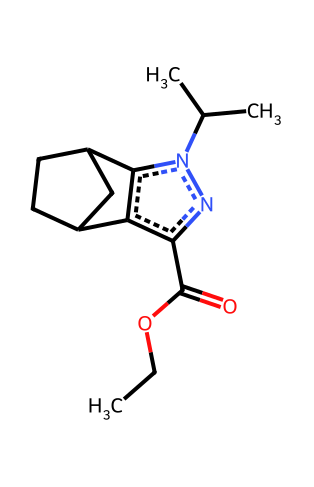 CCOC(=O)c1nn(C(C)C)c2c1C1CCC2C1